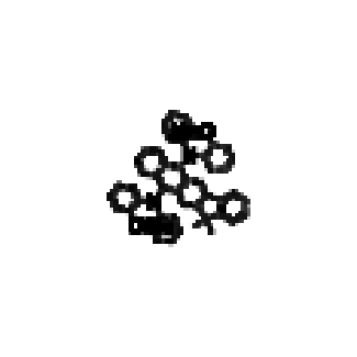 COc1ccccc1N(c1ccccc1)c1c2ccccc2c(N(c2ccccc2)c2ccccc2OC)c2cc3c(cc12)-c1ccccc1C3(C)C